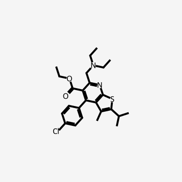 CCOC(=O)c1c(CN(CC)CC)nc2sc(C(C)C)c(C)c2c1-c1ccc(Cl)cc1